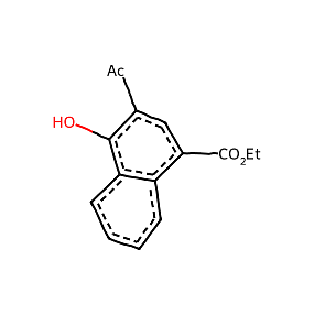 CCOC(=O)c1cc(C(C)=O)c(O)c2ccccc12